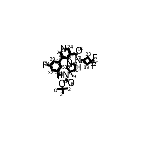 CC(C)(C)OC(=O)N[C@@]1(C)CCN(c2c(C(=O)NC3CC(F)(F)C3)cncc2-c2cc(F)cc(F)c2)C1